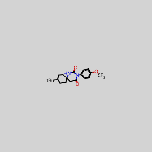 CC(C)(C)[C@H]1CC[C@]2(CC1)CC(=O)N(c1ccc(OC(F)(F)F)cc1)C(=O)N2